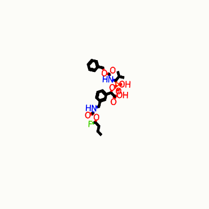 CCCC(F)OC(=O)NCc1cccc(C(OP(=O)(O)C(NC(=O)OCc2ccccc2)C(C)C)C(=O)O)c1